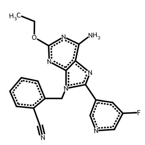 CCOc1nc(N)c2nc(-c3cncc(F)c3)n(Cc3ccccc3C#N)c2n1